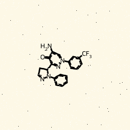 Nc1cn(-c2cccc(C(F)(F)F)c2)nc(C2CC=NN2c2ccccc2)c1=O